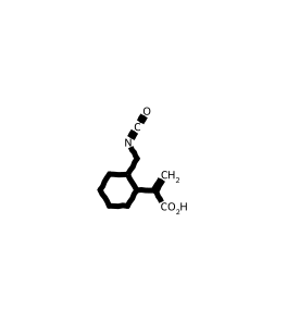 C=C(C(=O)O)C1CCCCC1CN=C=O